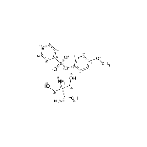 COc1ccc(OS(=O)(=O)c2ccccc2)cc1.NC(CO)(CO)CO.S